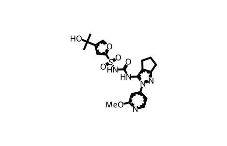 COc1cc(-n2nc3c(c2NC(=O)NS(=O)(=O)c2cc(C(C)(C)O)co2)CCC3)ccn1